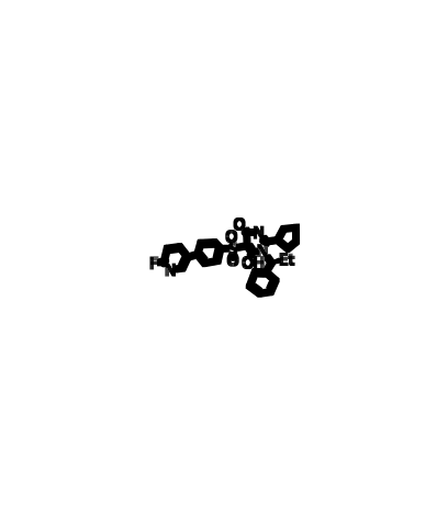 CC[C@@H](c1ccccc1)n1c(C2CCCC2)nc(=O)c(S(=O)(=O)c2ccc(-c3ccc(F)nc3)cc2)c1O